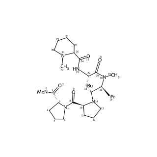 CNC(=O)[C@H]1CCCN1C(=O)[C@@H]1CCCN1C[C@H](C(C)C)N(C)C(=O)[C@@H](NC(=O)C1CCCCN1C)C(C)(C)C